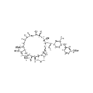 CCC1/C=C(\C)C(F)C(C)CC(OC)C2OC(O)(C(=O)C(=O)N3CCCCC3C(=O)OC(C(C)=CC3CCC(Oc4cccc(OC)c4)C(O)C3)C(C)C(O)CC1=O)C(C)CC2OC